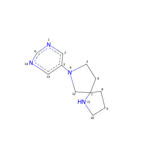 c1ncc(N2CCC3(CCCN3)C2)cn1